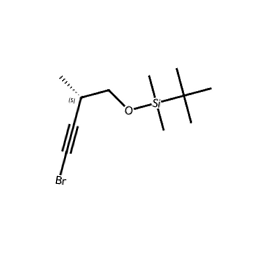 C[C@@H](C#CBr)CO[Si](C)(C)C(C)(C)C